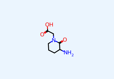 NC1CCCN(CC(=O)O)C1=O